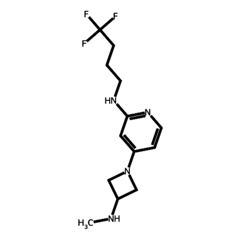 CNC1CN(c2ccnc(NCCCC(F)(F)F)c2)C1